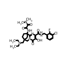 CCN(CC)CC12CCC(NC(=O)C(=O)N(C)C)(CC1)c1nc(C(=O)NCc3cccc(Cl)c3F)c(O)c(=O)n1C2